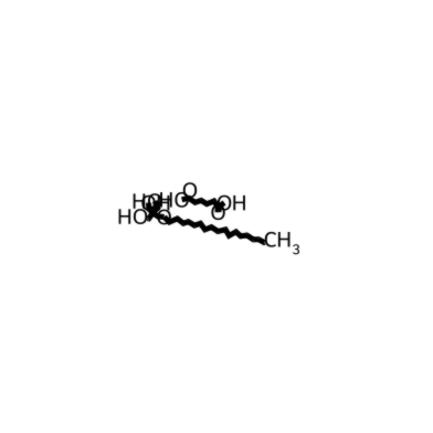 CCCCCCCCCCCCCCCCCCOCC(CO)(CO)CO.O=C(O)CCCCC(=O)O